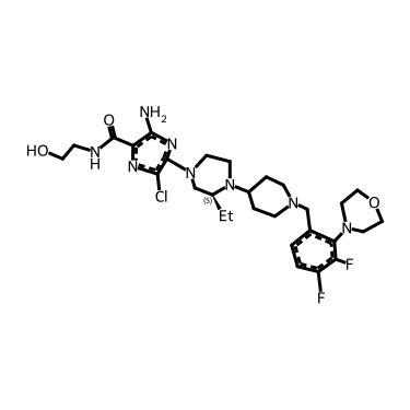 CC[C@H]1CN(c2nc(N)c(C(=O)NCCO)nc2Cl)CCN1C1CCN(Cc2ccc(F)c(F)c2N2CCOCC2)CC1